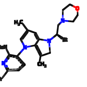 CC[C@H](CN1CCOCC1)N1CC(C)=C2C1=CC(C)=CN2c1ccc(C(C)C)nc1NC